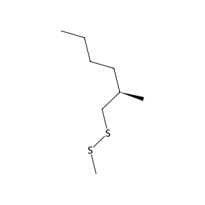 CCCC[C@@H](C)CSSC